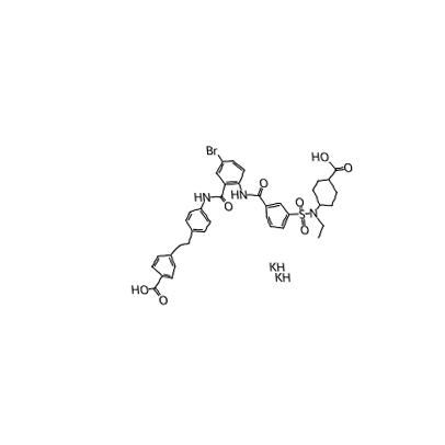 CCN(C1CCC(C(=O)O)CC1)S(=O)(=O)c1cccc(C(=O)Nc2ccc(Br)cc2C(=O)Nc2ccc(CCc3ccc(C(=O)O)cc3)cc2)c1.[KH].[KH]